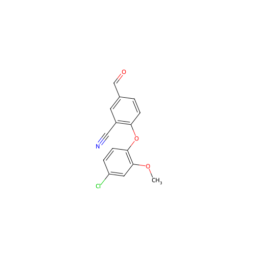 COc1cc(Cl)ccc1Oc1ccc(C=O)cc1C#N